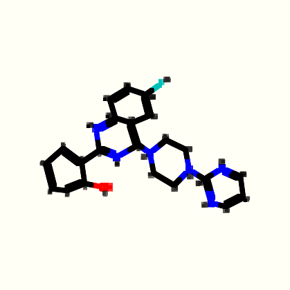 Oc1ccccc1-c1nc(N2CCN(c3ncccn3)CC2)c2cc(F)ccc2n1